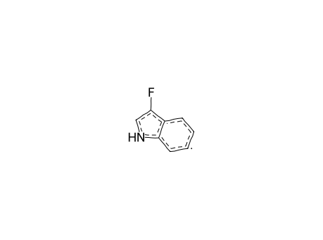 Fc1c[nH]c2c[c]ccc12